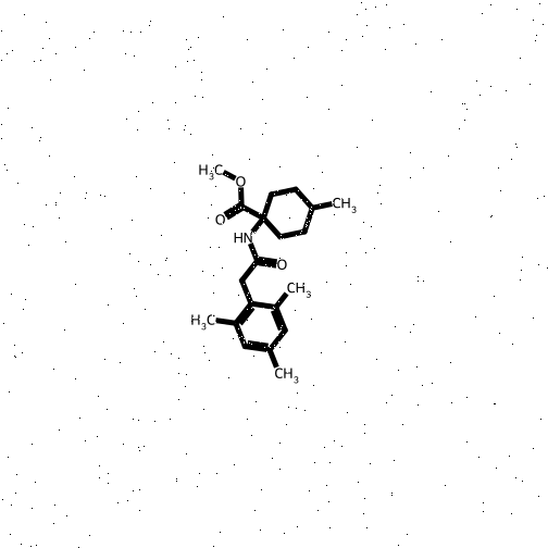 COC(=O)C1(NC(=O)Cc2c(C)cc(C)cc2C)CCC(C)CC1